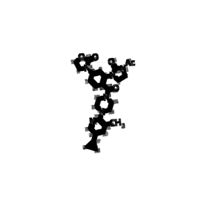 CC(=O)N1CCN(c2cc(N3CCOC3=O)ccc2C(=O)N2CCN(c3ncc(C4CC4)cc3C)CC2)C1=O